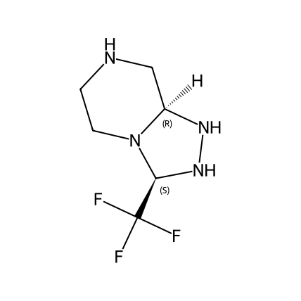 FC(F)(F)[C@@H]1NN[C@@H]2CNCCN12